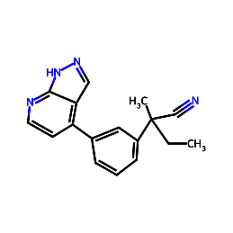 CCC(C)(C#N)c1cccc(-c2ccnc3[nH]ncc23)c1